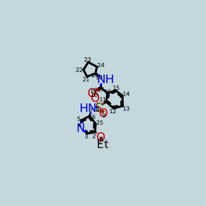 CCOc1cncc(NS(=O)(=O)c2ccccc2C(=O)NC2CCCC2)c1